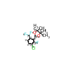 CC1(C)OB(c2c(C(F)F)ccc(Cl)c2F)OC1(C)C